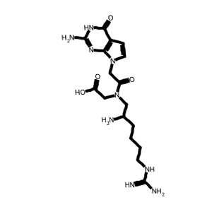 N=C(N)NCCCCC(N)CN(CC(=O)O)C(=O)Cn1ccc2c(=O)[nH]c(N)nc21